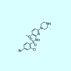 COc1ccc(N2C[C@@H](C)N[C@@H](C)C2)nc1NS(=O)(=O)c1ccc(Br)cc1Cl